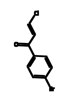 O=C(/C=C/Cl)c1ccc(Br)cc1